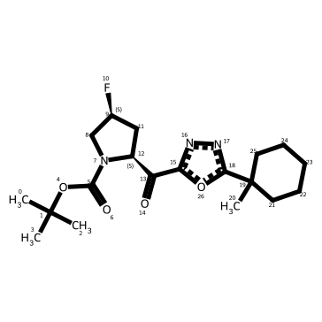 CC(C)(C)OC(=O)N1C[C@@H](F)C[C@H]1C(=O)c1nnc(C2(C)CCCCC2)o1